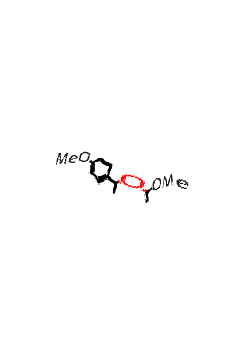 COc1ccc(C(C)OC(C)OC)cc1